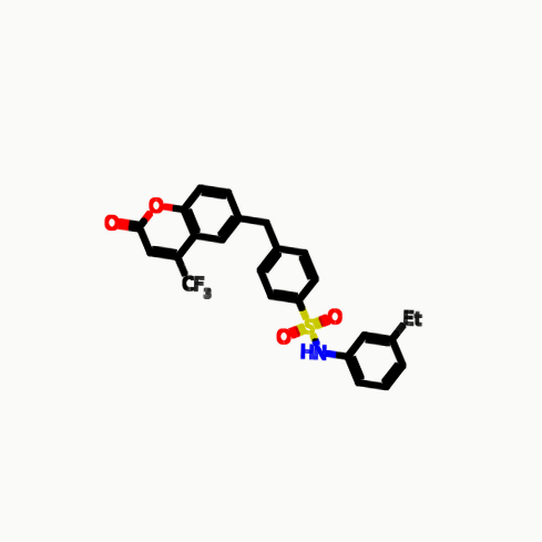 CCc1cccc(NS(=O)(=O)c2ccc(Cc3ccc4oc(=O)cc(C(F)(F)F)c4c3)cc2)c1